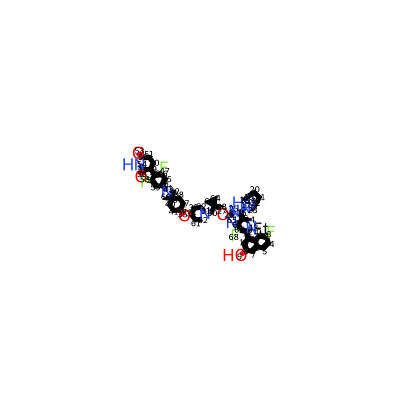 CCc1c(F)ccc2cc(O)cc(-c3ncc4c(N5CC6CCC(C5)N6)nc(OCC5(CN6CCC(OC7CCC8(CC7)CN(c7cc(F)c(C9CCC(=O)NC9=O)c(F)c7)C8)CC6)CC5)nc4c3F)c12